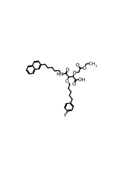 CCOC(=O)COC(C(=O)O)C(OCCCCCc1ccc(F)cc1)C(=O)NCCCCCc1ccc2ccccc2c1